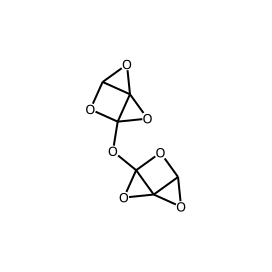 O1C2OC23OC13OC12OC3OC31O2